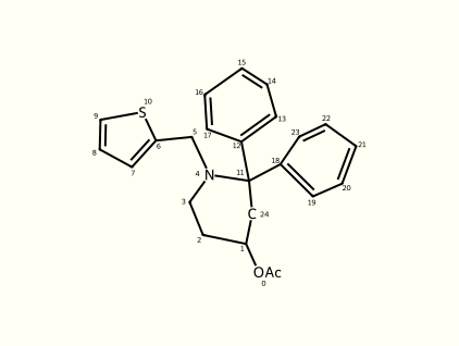 CC(=O)OC1CCN(Cc2cccs2)C(c2ccccc2)(c2ccccc2)C1